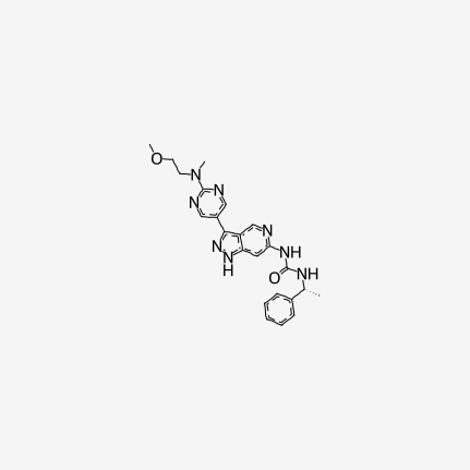 COCCN(C)c1ncc(-c2n[nH]c3cc(NC(=O)N[C@H](C)c4ccccc4)ncc23)cn1